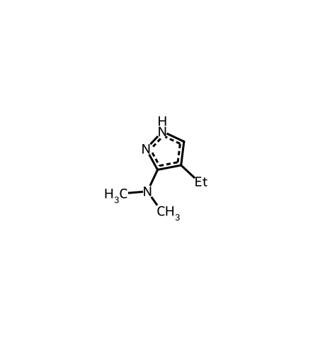 CCc1c[nH]nc1N(C)C